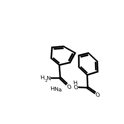 NC(=O)c1ccccc1.O=C(O)c1ccccc1.[NaH]